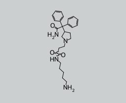 NCCCCCNS(=O)(=O)CCN1CCC(C(C(N)=O)(c2ccccc2)c2ccccc2)C1